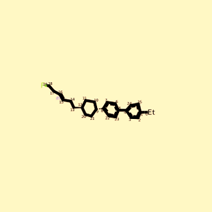 CCc1ccc(-c2ccc([C@H]3CC[C@H](CC/C=C/CCF)CC3)cc2)cc1